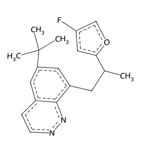 CC(Cc1cc(C(C)(C)C)cc2ccnnc12)c1cc(F)co1